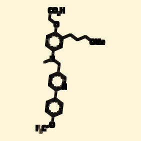 COCCCc1cc(N(C)Cc2ccc(-c3ccc(OC(F)(F)F)cc3)nc2)ccc1OCC(=O)O